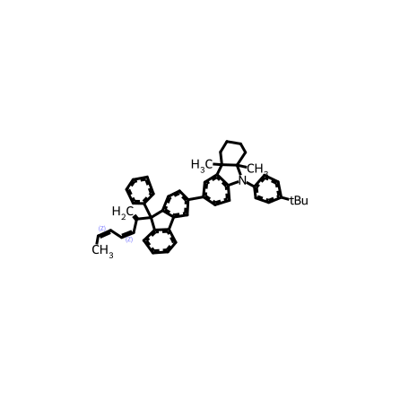 C=C(/C=C\C=C/C)C1(c2ccccc2)c2ccccc2-c2cc(-c3ccc4c(c3)C3(C)CCCCC3(C)N4c3ccc(C(C)(C)C)cc3)ccc21